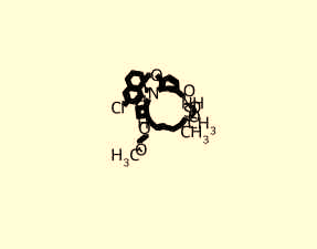 COCCO[C@H]1/C=C/C[C@H](C)[C@@H](C)S(=O)(=O)NC(=O)c2ccc3c(c2)N(C[C@@H]2CC[C@H]21)C[C@@]1(CCCc2cc(Cl)ccc21)CO3